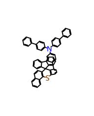 c1ccc(-c2ccc(N(c3ccc(-c4ccccc4)cc3)c3ccc(-c4cccc5c4C4(c6ccccc6-c6ccccc64)c4ccc6ccccc6c4S5)cc3)cc2)cc1